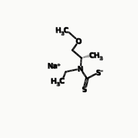 CCN(C(=S)[S-])[C@@H](C)COC.[Na+]